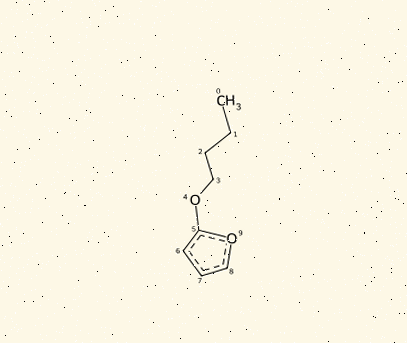 CCCCOc1ccco1